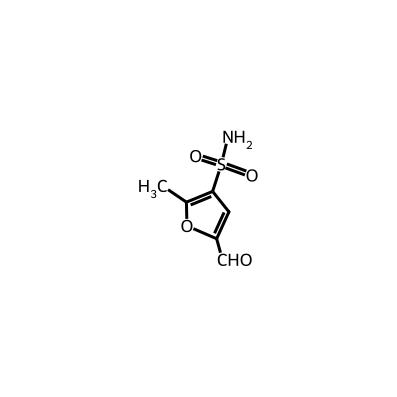 Cc1oc(C=O)cc1S(N)(=O)=O